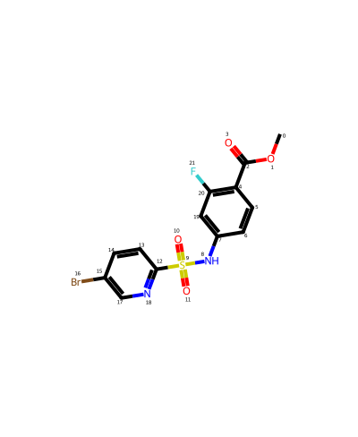 COC(=O)c1ccc(NS(=O)(=O)c2ccc(Br)cn2)cc1F